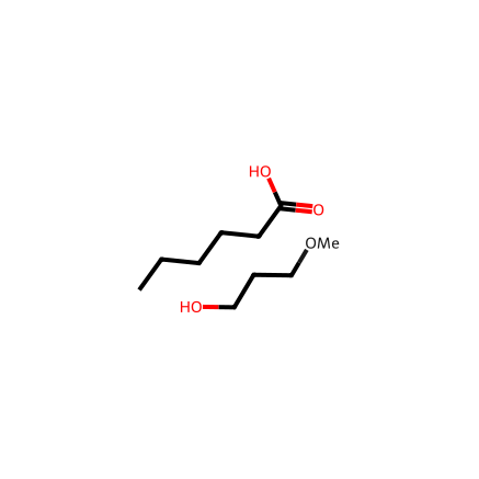 CCCCCC(=O)O.COCCCO